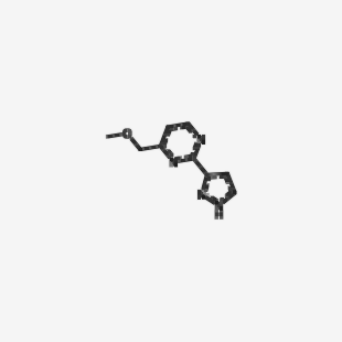 COCc1ccnc(-c2cc[nH]n2)n1